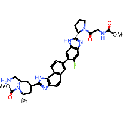 COC(=O)NCC(=O)N1CCC[C@H]1c1nc2cc(F)c(-c3ccc4c(ccc5nc(C(CCCN)C[C@@H](NC(=O)OC)C(C)C)[nH]c54)c3)cc2[nH]1